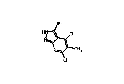 Cc1c(Cl)nc2n[nH]c(C(C)C)c2c1Cl